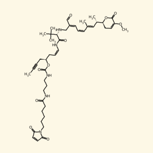 CC#CC[C@@H](C/C=C\NC(=O)[C@@H](NC\C(C=O)=C/C=C\C(C)=C\[C@H](C)[C@@H]1CC=C(OC)C(=O)O1)C(C)(C)C)OC(=O)NCCCNC(=O)CCCCCN1C(=O)C=CC1=O